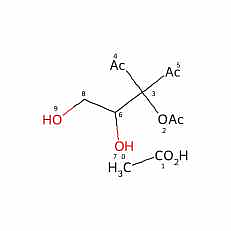 CC(=O)O.CC(=O)OC(C(C)=O)(C(C)=O)C(O)CO